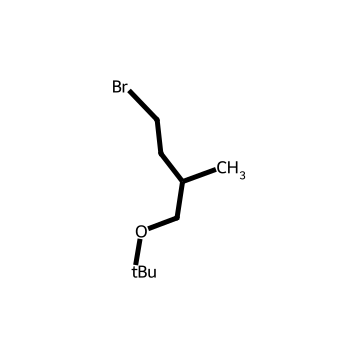 CC(CCBr)COC(C)(C)C